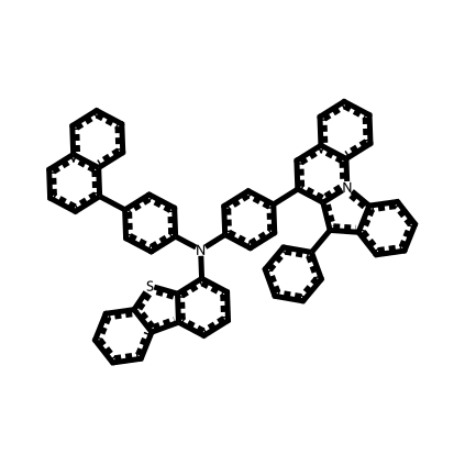 c1ccc(-c2c3ccccc3n3c2c(-c2ccc(N(c4ccc(-c5cccc6ccccc56)cc4)c4cccc5c4sc4ccccc45)cc2)cc2ccccc23)cc1